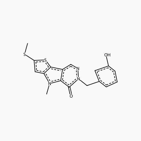 CSc1cc2c(s1)c1cnn(Cc3cccc(O)c3)c(=O)c1n2C